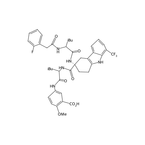 CCC(C)C(NC(=O)Cc1ccccc1F)C(=O)N[C@@]1(C(=O)NC(C(=O)Nc2ccc(OC)c(C(=O)O)c2)C(C)CC)CCc2[nH]c3c(C(F)(F)F)cccc3c2C1